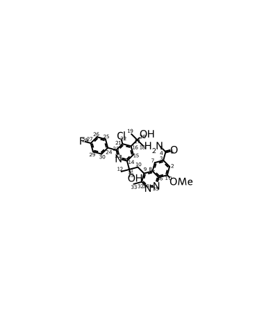 COc1cc(C(N)=O)cc2c(CC(C)(O)c3cc(C(C)(C)O)c(Cl)c(-c4ccc(F)cc4)n3)c(C)nnc12